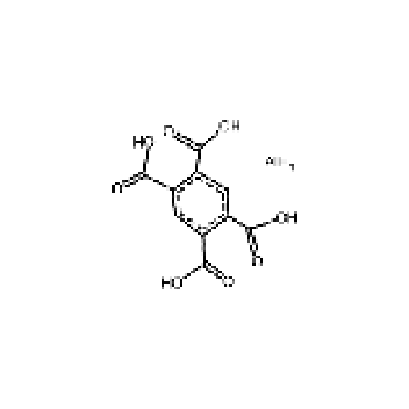 O=C(O)c1cc(C(=O)O)c(C(=O)O)cc1C(=O)O.[AlH3]